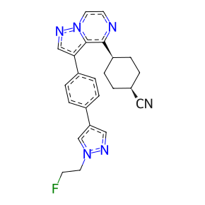 N#C[C@H]1CC[C@@H](c2nccn3ncc(-c4ccc(-c5cnn(CCF)c5)cc4)c23)CC1